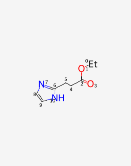 CCOC(=O)CCc1ncc[nH]1